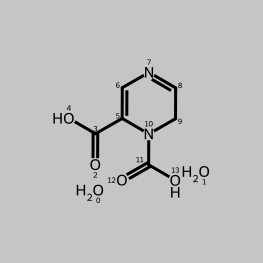 O.O.O=C(O)C1=CN=CCN1C(=O)O